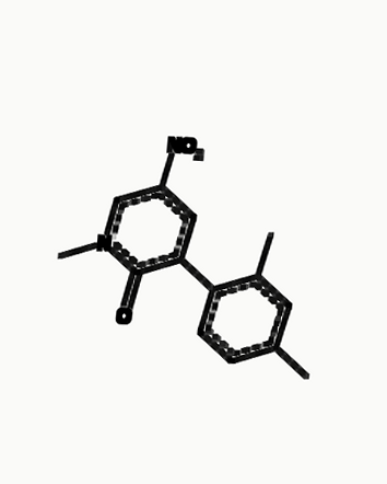 Cc1ccc(-c2cc([N+](=O)[O-])cn(C)c2=O)c(C)c1